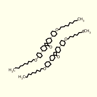 CCCCCCCCCCO[C@H]1CC[C@H](C2CCC3(CC2)CC2(CCC([C@H]4CC[C@H](OCCCCCCCCCC)CC4)CC2)C3=O)CC1.CCCCCCCCCO[C@H]1CC[C@H](C2CCC3(CC2)CC2(CCC([C@H]4CC[C@H](OCCCCCCCCC)CC4)CC2)C3=O)CC1